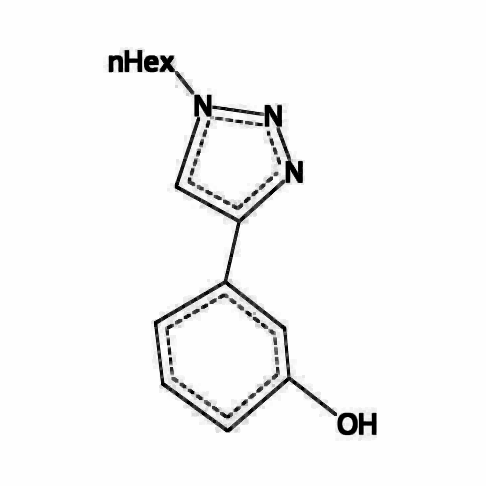 CCCCCCn1cc(-c2cccc(O)c2)nn1